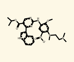 COc1cc(N(C)CCN(C)C)c([N+](=O)[O-])cc1Nc1ncc(C(=O)OC(C)C)c(-c2c[nH]c3ccccc23)n1